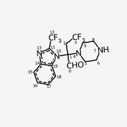 O=CC(CC(F)(F)F)(N1CCNCC1)n1c(C(F)(F)F)nc2ccccc21